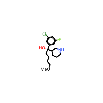 COCCCC[C@@](O)(c1cc(F)cc(Cl)c1)C1CCCNC1